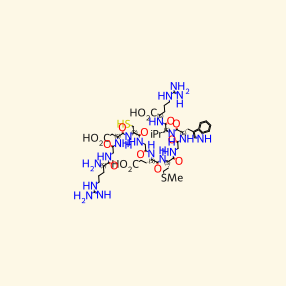 CSCC[C@H](NC(=O)[C@H](CCC(=O)O)NC(=O)CNC(=O)[C@H](CS)NC(=O)[C@H](CC(=O)O)NC(=O)CNC(=O)[C@@H](N)CCCNC(=N)N)C(=O)NCC(=O)N[C@@H](Cc1c[nH]c2ccccc12)C(=O)N[C@H](C(=O)N[C@@H](CCCNC(=N)N)C(=O)O)C(C)C